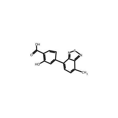 Cc1ccc(-c2ccc(C(=O)O)c(O)c2)c2nsnc12